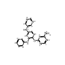 Nc1n[c]nc(Sc2ncc(Nc3cncnc3)nc2Oc2ccccc2)n1